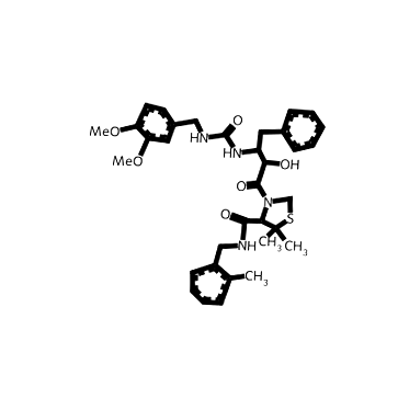 COc1ccc(CNC(=O)NC(Cc2ccccc2)C(O)C(=O)N2CSC(C)(C)C2C(=O)NCc2ccccc2C)cc1OC